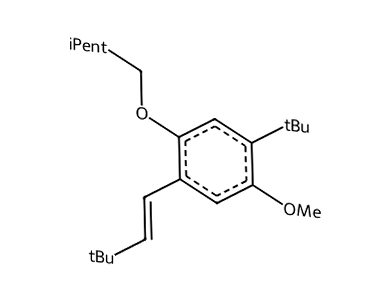 CCCC(C)COc1cc(C(C)(C)C)c(OC)cc1/C=C/C(C)(C)C